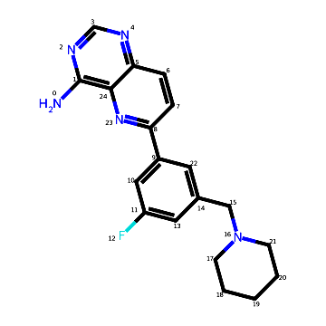 Nc1ncnc2ccc(-c3cc(F)cc(CN4CCCCC4)c3)nc12